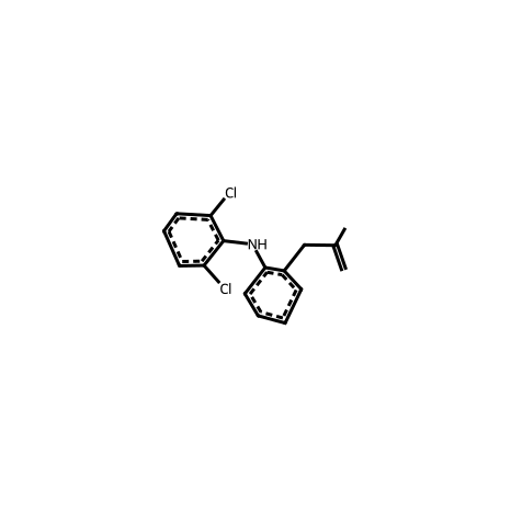 C=C(C)Cc1ccccc1Nc1c(Cl)cccc1Cl